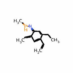 C=CC1=CC(=C\C)/C(=N\PC)C=C1CC